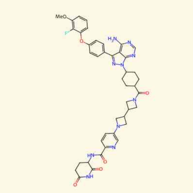 COc1cccc(Oc2ccc(-c3nn(C4CCC(C(=O)N5CC(C6CN(c7ccc(C(=O)NC8CCC(=O)NC8=O)nc7)C6)C5)CC4)c4ncnc(N)c34)cc2)c1F